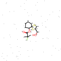 CC(C)(F)C(=O)OC1CCCCC12SCC(CO)S2